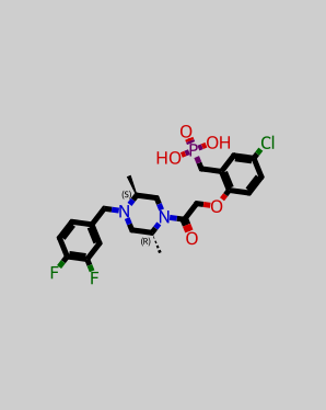 C[C@@H]1CN(Cc2ccc(F)c(F)c2)[C@@H](C)CN1C(=O)COc1ccc(Cl)cc1CP(=O)(O)O